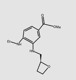 CCNc1ccc(C(=O)OC)cc1NC[C@@H]1CCO1